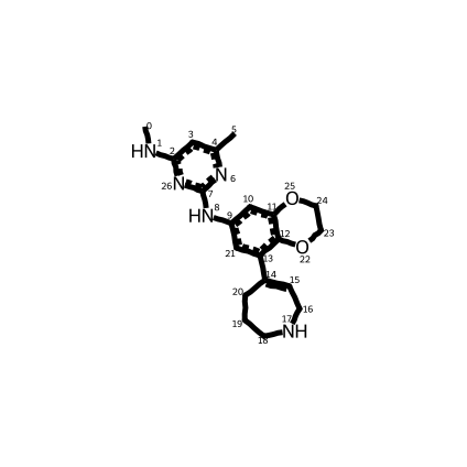 CNc1cc(C)nc(Nc2cc3c(c(C4=CCNCCC4)c2)OCCO3)n1